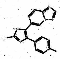 Fc1ccc(-c2nc(C(F)(F)F)[nH]c2-c2ccc3ncnn3c2)cc1